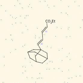 CCOC(=O)/C=C/C=C/C12CC3CC(CC(C3)C1)C2